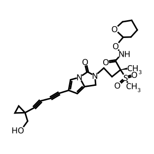 C[C@@](CCN1Cc2cc(C#CC#CC3(CO)CC3)cn2C1=O)(C(=O)NOC1CCCCO1)S(C)(=O)=O